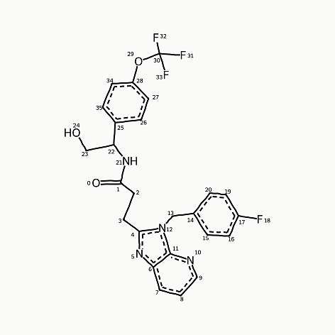 O=C(CCc1nc2cccnc2n1Cc1ccc(F)cc1)NC(CO)c1ccc(OC(F)(F)F)cc1